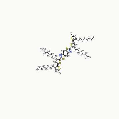 CCCCCCCCc1cc(C)sc1-c1cc(CCCCCCCC)c(-c2nc3cc4sc(-c5sc(-c6sc(C)cc6CCCCCCCC)cc5CCCCCCCC)nc4cc3s2)s1